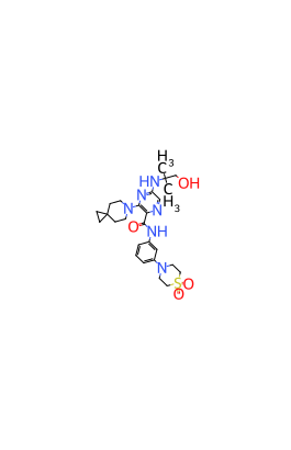 CC(C)(CO)Nc1cnc(C(=O)Nc2cccc(N3CCS(=O)(=O)CC3)c2)c(N2CCC3(CC2)CC3)n1